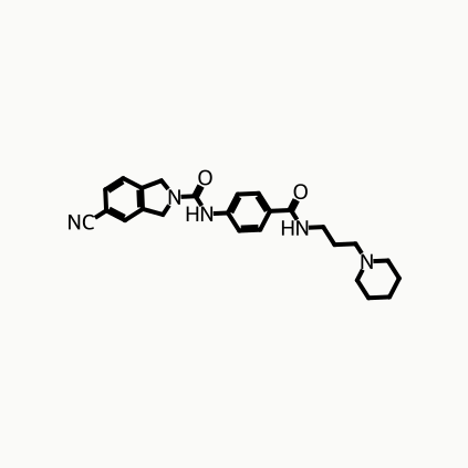 N#Cc1ccc2c(c1)CN(C(=O)Nc1ccc(C(=O)NCCCN3CCCCC3)cc1)C2